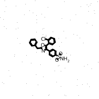 NS(=O)(=O)c1ccc(-c2nc(Cc3ccccc3)oc2-c2ccccc2Cl)cc1